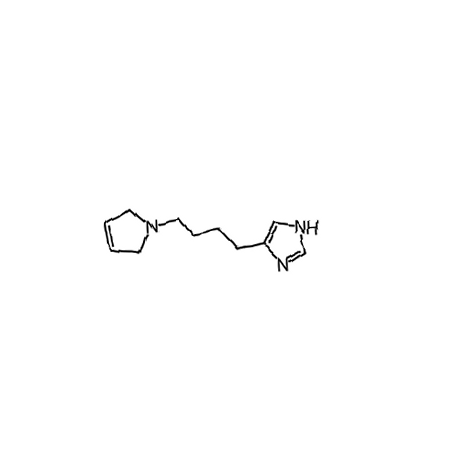 C1=CCN(CCCCc2c[nH]cn2)C1